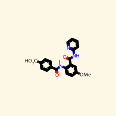 COc1ccc(NC(=O)c2ccc(C(=O)O)cc2)c(C(=O)Nc2ccccn2)c1